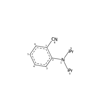 CC(C)N(c1ccccc1C#N)C(C)C